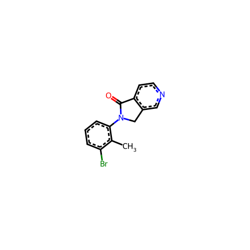 Cc1c(Br)cccc1N1Cc2cnccc2C1=O